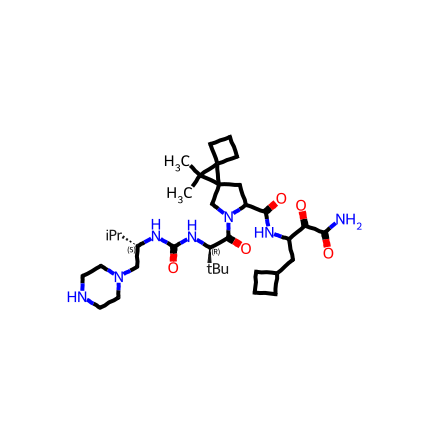 CC(C)[C@@H](CN1CCNCC1)NC(=O)N[C@@H](C(=O)N1CC2(CC1C(=O)NC(CC1CCC1)C(=O)C(N)=O)C(C)(C)C21CCC1)C(C)(C)C